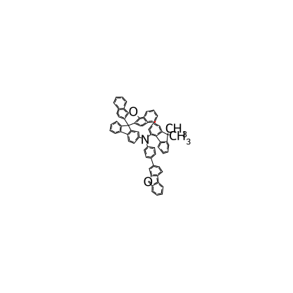 CC1(C)c2ccccc2-c2c(N(c3ccc(-c4ccc5c(c4)oc4ccccc45)cc3)c3ccc4c(c3)C3(c5ccccc5-4)c4ccc5ccccc5c4Oc4c3ccc3ccccc43)cccc21